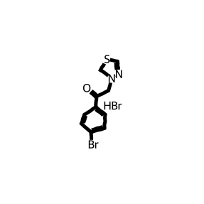 Br.O=C(CN1CSC=N1)c1ccc(Br)cc1